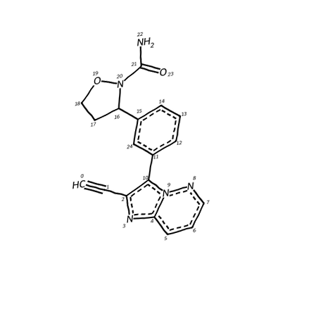 C#Cc1nc2cccnn2c1-c1cccc(C2CCON2C(N)=O)c1